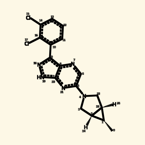 C[C@@H]1[C@H]2CN(c3cnc4c(-c5cccc(Cl)c5Cl)n[nH]c4n3)C[C@@H]12